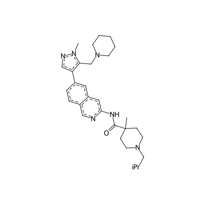 CC(C)CN1CCC(C)(C(=O)Nc2cc3cc(-c4cnn(C)c4CN4CCCCC4)ccc3cn2)CC1